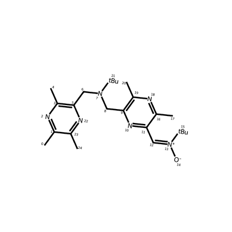 Cc1nc(C)c(CN(Cc2nc(/C=[N+](/[O-])C(C)(C)C)c(C)nc2C)C(C)(C)C)nc1C